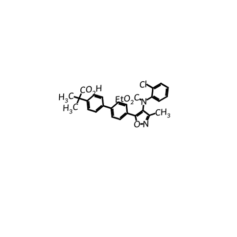 CCOC(=O)N(c1ccccc1Cl)c1c(C)noc1-c1ccc(-c2ccc(C(C)(C)C(=O)O)cc2)cc1